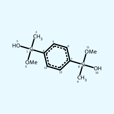 CO[Si](C)(O)c1ccc([Si](C)(O)OC)cc1